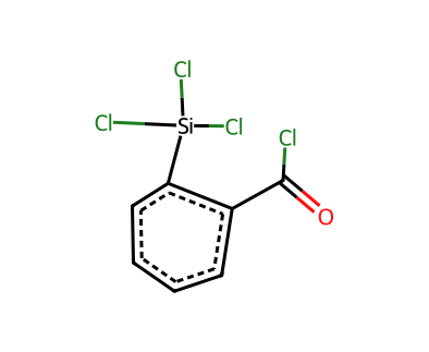 O=C(Cl)c1ccccc1[Si](Cl)(Cl)Cl